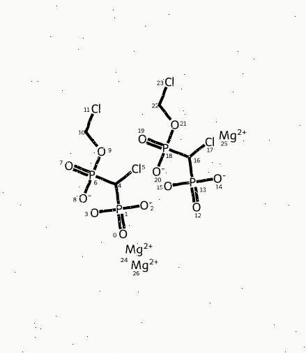 O=P([O-])([O-])C(Cl)P(=O)([O-])OCCl.O=P([O-])([O-])C(Cl)P(=O)([O-])OCCl.[Mg+2].[Mg+2].[Mg+2]